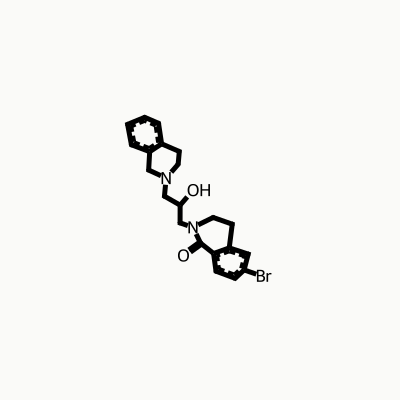 O=C1c2ccc(Br)cc2CCN1CC(O)CN1CCc2ccccc2C1